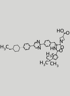 CC[C@H]1CC[C@H](c2ccc(-c3cnc(-c4ccc(C[C@H](NC(=O)c5ccc(C(C)(C)C)s5)C(=O)N5CC(C(=O)O)C5)cc4)nc3)cc2)CC1